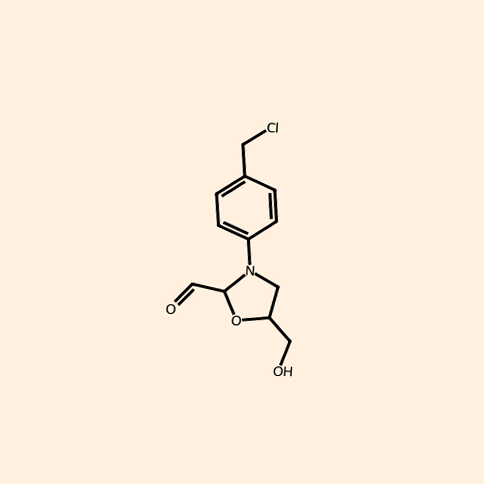 O=CC1OC(CO)CN1c1ccc(CCl)cc1